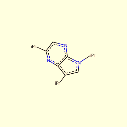 CC(C)c1cnc2c(n1)c(C(C)C)cn2C(C)C